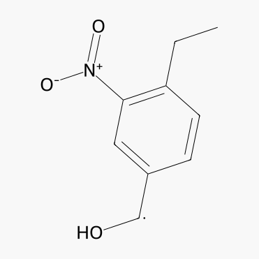 CCc1ccc([CH]O)cc1[N+](=O)[O-]